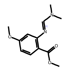 COC(=O)c1ccc(OC)cc1/N=C/N(C)C